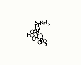 CN1C(=O)CCC(C)(N2Cc3c(csc3N)C2=O)C1=O